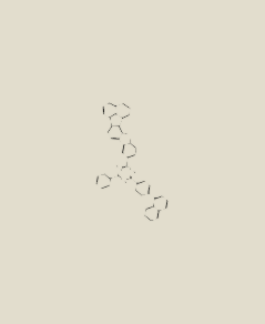 c1ccc(-c2nc(-c3ccc(-c4cccc5ccccc45)cc3)nc(-c3ccc4oc5c6c(ccc5c4c3)-c3cccc4cccc-6c34)n2)cc1